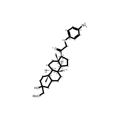 COCC1(O)CC[C@@]2(C)C(CC[C@H]3[C@@H]4CC[C@H](C(=O)CSc5ccc(N)cc5)[C@@]4(C)CC[C@@H]32)C1